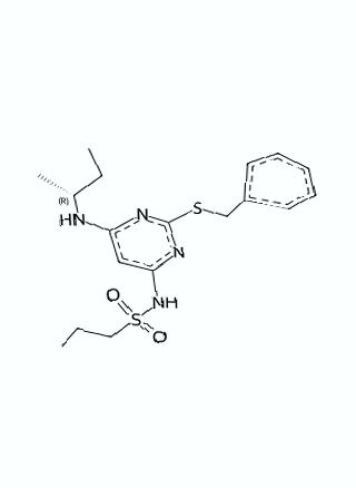 CCCS(=O)(=O)Nc1cc(N[C@H](C)CC)nc(SCc2ccccc2)n1